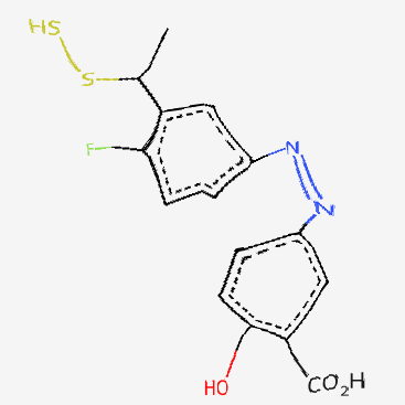 CC(SS)c1cc(/N=N\c2ccc(O)c(C(=O)O)c2)ccc1F